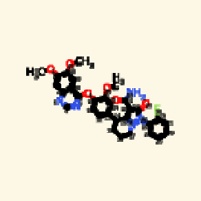 COc1cc2ncnc(Oc3ccc(C4CCCn5c4c(C(N)=O)c(=O)n5-c4ccccc4F)cc3OC)c2cc1OC